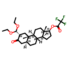 CCOC(OCC)[C@@H]1C[C@@]2(C)[C@@H](CC[C@@H]3[C@@H]2CC[C@]2(C)[C@@H](OC(=O)C(F)(F)F)CC[C@@H]32)CC1=O